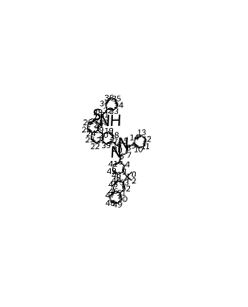 CC1(C)c2cc(-c3cc(-c4ccccc4)nc(-c4ccc5c(ccc6ccc7c(c65)NC(c5ccccc5)S7)c4)n3)ccc2-c2cc3ccccc3cc21